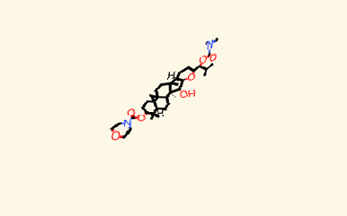 CC(C)C(OC(=O)N(C)C)C1CC[C@H]2C(O1)[C@H](O)[C@@]1(C)C3CC[C@H]4C(C)(C)C(OC(=O)N5CCOCC5)CCC45CC35CCC21C